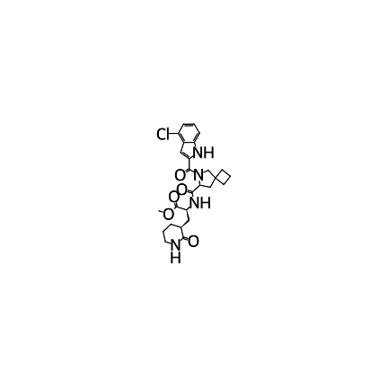 COC(=O)[C@H](C[C@@H]1CCCNC1=O)NC(=O)C1CC2(CCC2)CN1C(=O)c1cc2c(Cl)cccc2[nH]1